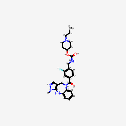 Cn1ncc2c1Nc1ccccc1N(C(=O)c1ccc(CNC(=O)OC3CCN(CCC(C)(C)C)CC3)c(F)c1)C2